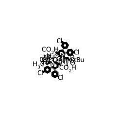 CC[C@@H](CN(C)S(=O)(=O)C(C)(C)C)N1C(=O)[C@@](C)(CC(=O)O)C[C@H](c2cccc(Cl)c2)[C@H]1c1ccc(Cl)cc1.CC[C@@H](CNS(=O)(=O)C(C)(C)C)N1C(=O)[C@@](C)(CC(=O)O)C[C@H](c2cccc(Cl)c2)[C@H]1c1ccc(Cl)cc1